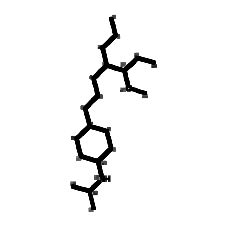 CCCC(CCCC1CCC(NC(C)C)CC1)C(CC)OC